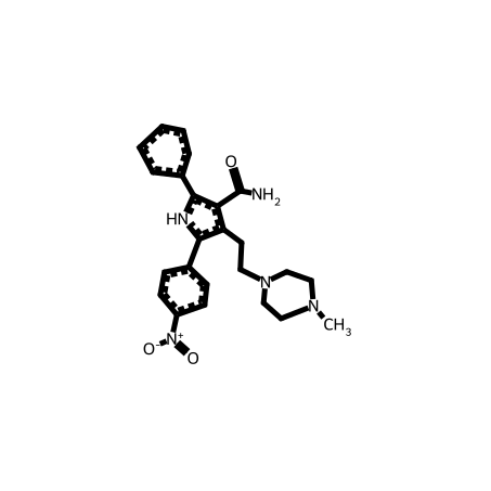 CN1CCN(CCc2c(-c3ccc([N+](=O)[O-])cc3)[nH]c(-c3ccccc3)c2C(N)=O)CC1